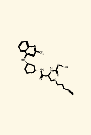 C=CCCCOCC(NC(=O)OC(C)(C)C)C(=O)N[C@@H]1CCC[C@H](Nc2cc(C(F)(F)F)nc3ccccc23)C1